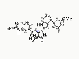 C=C(/C=c1/c(-c2cc3c(-c4cc(F)cc(OC)c4)nccc3[nH]2)n[nH]c1=C)c1cncc(NC(=O)CCC)c1